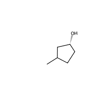 CC1CC[C@@H](O)C1